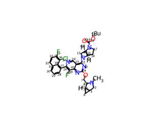 CN1CC2C[C@H]2[C@H]1COc1nc(N2C[C@@H]3[C@H]2CCN3C(=O)OC(C)(C)C)c2cnc(-c3cccc4ccc(F)c(Cl)c34)c(F)c2n1